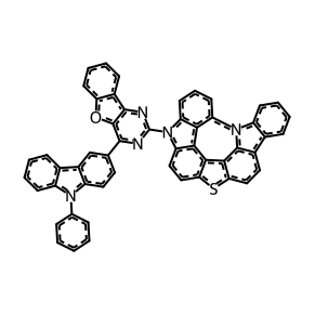 c1ccc(-n2c3ccccc3c3cc(-c4nc(-n5c6ccc7sc8ccc9c%10ccccc%10n%10c%11cccc5c%11c6c7c8c9%10)nc5c4oc4ccccc45)ccc32)cc1